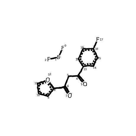 F[B]F.O=C(CC(=O)c1ccco1)c1ccc(F)cc1